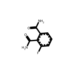 NC(=O)c1cccc(F)c1C(N)=O